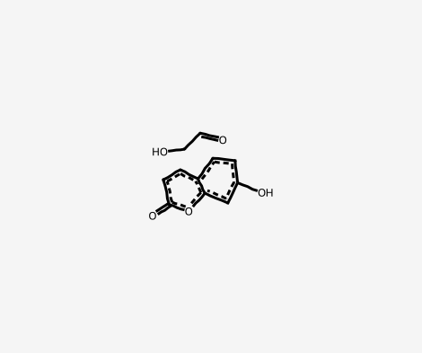 O=CCO.O=c1ccc2ccc(O)cc2o1